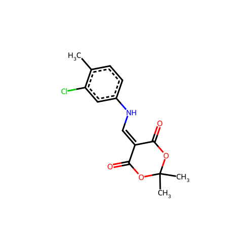 Cc1ccc(NC=C2C(=O)OC(C)(C)OC2=O)cc1Cl